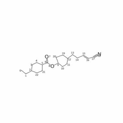 CCC1CCC(C(=O)OC2CCC(CC/C=C/C#N)CC2)CC1